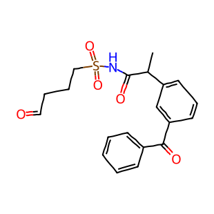 CC(C(=O)NS(=O)(=O)CCCC=O)c1cccc(C(=O)c2ccccc2)c1